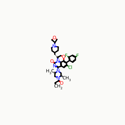 C=CC(=O)N1C[C@H](C)N(c2nc(=O)n3c4c(c(-c5ccc(F)cc5F)c(Cl)cc24)OC[C@H]3CC2CCN(C3COC3)CC2)C[C@H]1C